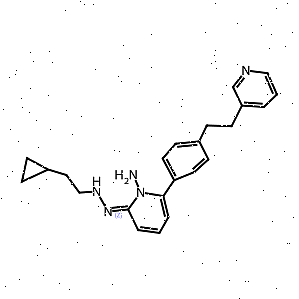 Nn1c(-c2ccc(CCc3cccnc3)cc2)ccc/c1=N/NCCC1CC1